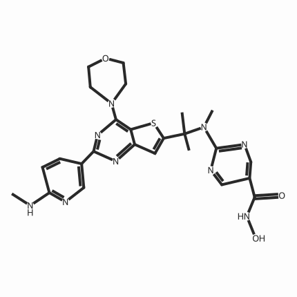 CNc1ccc(-c2nc(N3CCOCC3)c3sc(C(C)(C)N(C)c4ncc(C(=O)NO)cn4)cc3n2)cn1